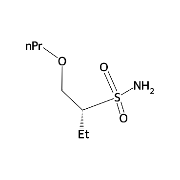 CCCOC[C@@H](CC)S(N)(=O)=O